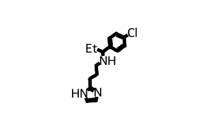 CCC(NCCCc1ncc[nH]1)c1ccc(Cl)cc1